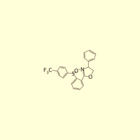 [O-][S+](c1ccc(C(F)(F)F)cc1)c1ccccc1C1=NC(c2ccccc2)CO1